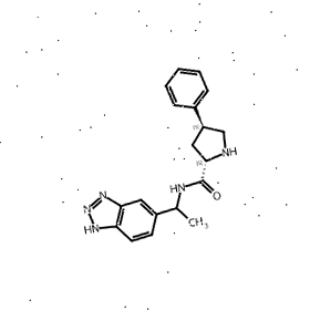 CC(NC(=O)[C@@H]1C[C@@H](c2ccccc2)CN1)c1ccc2[nH]nnc2c1